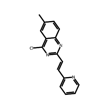 Cc1ccc2nc(C=Cc3ccccn3)nc(Cl)c2c1